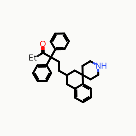 CCC(=O)C(CCC1Cc2ccccc2C2(CCNCC2)C1)(c1ccccc1)c1ccccc1